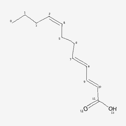 CCC/C=C\CC/C=C/C=C/C(=O)O